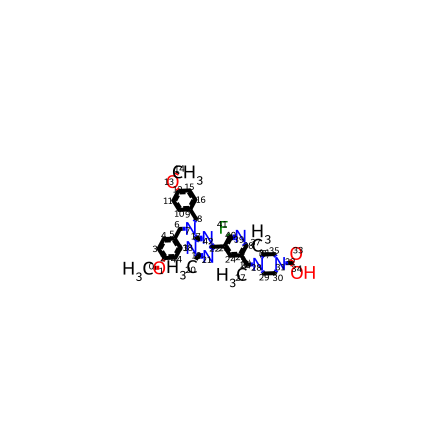 COc1ccc(CN(Cc2ccc(OC)cc2)c2nc(C)nc(-c3cc([C@@H](C)N4CCN(C(=O)O)C[C@@H]4C)cnc3F)n2)cc1